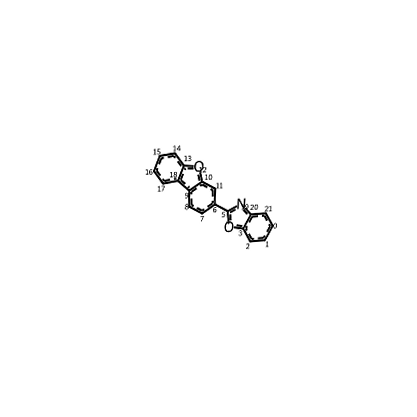 c1ccc2oc(-c3ccc4c(c3)oc3ccccc34)nc2c1